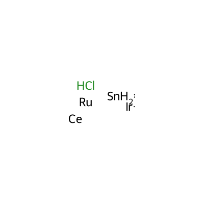 Cl.[Ce].[Ir].[Ru].[SnH2]